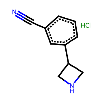 Cl.N#Cc1cccc(C2CNC2)c1